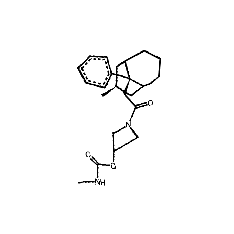 CNC(=O)OC1CN(C(=O)C[C@]2(c3ccccc3)C3CCCC2C[C@H](C)C3)C1